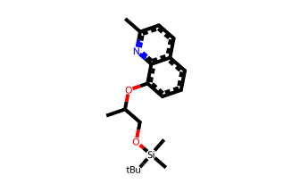 Cc1ccc2cccc(OC(C)CO[Si](C)(C)C(C)(C)C)c2n1